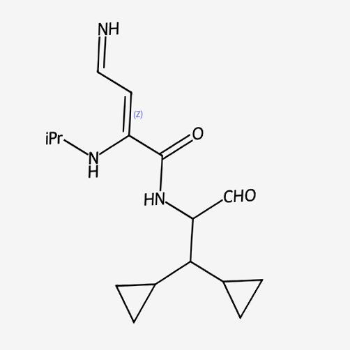 CC(C)N/C(=C\C=N)C(=O)NC(C=O)C(C1CC1)C1CC1